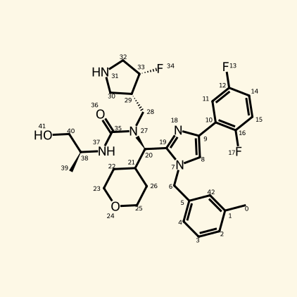 Cc1cccc(Cn2cc(-c3cc(F)ccc3F)nc2[C@@H](C2CCOCC2)N(C[C@@H]2CNC[C@@H]2F)C(=O)N[C@@H](C)CO)c1